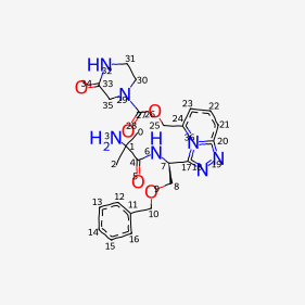 CC(C)(N)C(=O)N[C@H](COCc1ccccc1)c1nnc2cccc(COC(=O)N3CCNC(=O)C3)n12